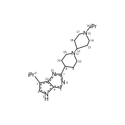 CC(C)c1c[nH]c2cnc(C3CCN(C4CCN(C(C)C)CC4)CC3)nc12